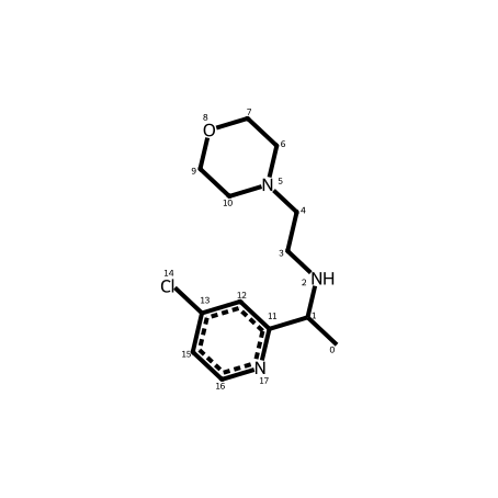 CC(NCCN1CCOCC1)c1cc(Cl)ccn1